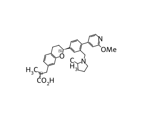 COc1cc(-c2ccc([C@@H]3CCc4ccc(C[C@H](C)C(=O)O)cc4O3)cc2CN2CCCC2C)ccn1